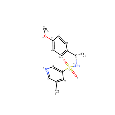 N#Cc1cncc(S(=O)(=O)N[C@H](c2ccc(OC(F)(F)F)cc2)C(F)(F)F)c1